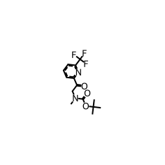 CN(CC(=O)c1cccc(C(F)(F)F)n1)C(=O)OC(C)(C)C